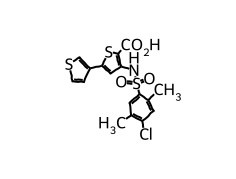 Cc1cc(S(=O)(=O)Nc2cc(-c3ccsc3)sc2C(=O)O)c(C)cc1Cl